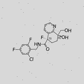 O=C(NCc1c(F)cc(F)cc1Cl)[C@]1(F)CC[C@@](O)(CO)c2ncccc21